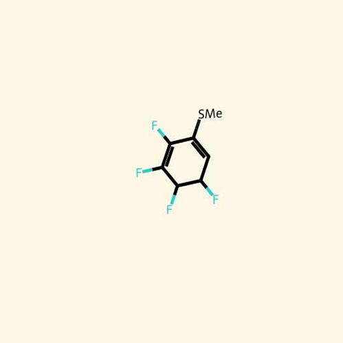 CSC1=CC(F)[C](F)C(F)=C1F